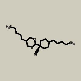 CCCCCC1CCC(C#N)(C2OCC(CCCCC)CO2)CC1